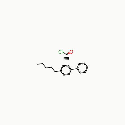 C#C.CCCCCc1ccc(-c2ccccc2)cc1.O=CCl